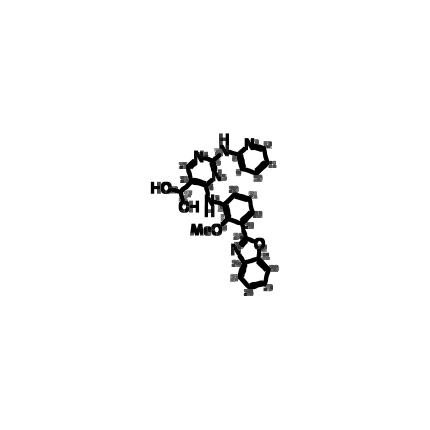 COc1c(Nc2nc(Nc3ccccn3)ncc2C(O)O)cccc1-c1nc2ccccc2o1